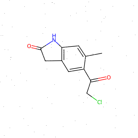 Cc1cc2c(cc1C(=O)CCl)CC(=O)N2